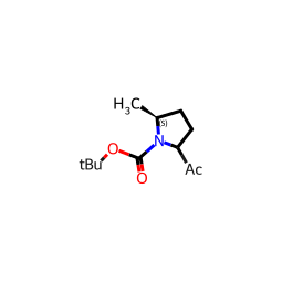 CC(=O)C1CC[C@H](C)N1C(=O)OC(C)(C)C